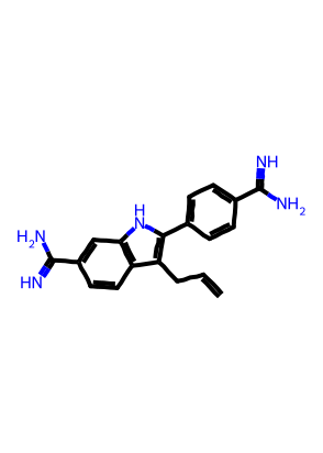 C=CCc1c(-c2ccc(C(=N)N)cc2)[nH]c2cc(C(=N)N)ccc12